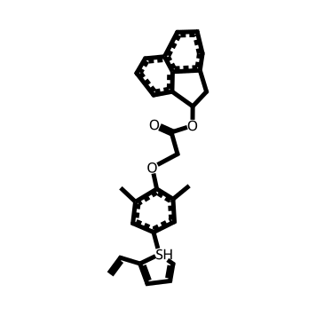 C=CC1=CC=C[SH]1c1cc(C)c(OCC(=O)OC2Cc3cccc4cccc2c34)c(C)c1